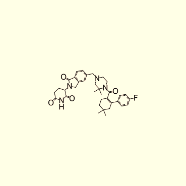 CC1(C)CCC(C(=O)N2CCN(Cc3ccc4c(c3)CN(C3CCC(=O)NC3=O)C4=O)CC2(C)C)=C(c2ccc(F)cc2)C1